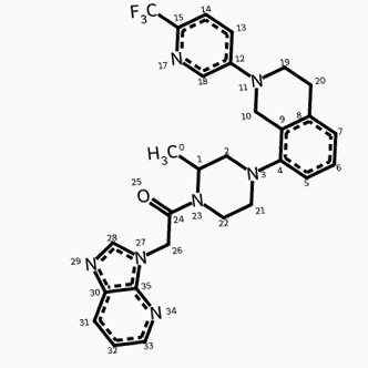 CC1CN(c2cccc3c2CN(c2ccc(C(F)(F)F)nc2)CC3)CCN1C(=O)Cn1cnc2cccnc21